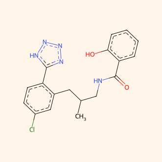 CC(CNC(=O)c1ccccc1O)Cc1cc(Cl)ccc1-c1nnn[nH]1